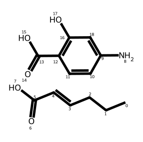 CCCC=CC(=O)O.Nc1ccc(C(=O)O)c(O)c1